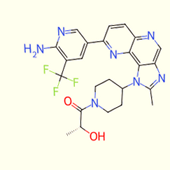 Cc1nc2cnc3ccc(-c4cnc(N)c(C(F)(F)F)c4)nc3c2n1C1CCN(C(=O)[C@@H](C)O)CC1